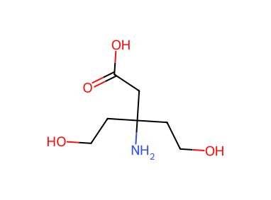 NC(CCO)(CCO)CC(=O)O